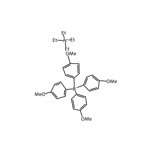 CC[N+](CC)(CC)CC.COc1ccc([B-](c2ccc(OC)cc2)(c2ccc(OC)cc2)c2ccc(OC)cc2)cc1